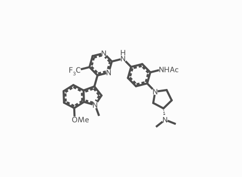 COc1cccc2c(-c3nc(Nc4ccc(N5CC[C@H](N(C)C)C5)c(NC(C)=O)c4)ncc3C(F)(F)F)cn(C)c12